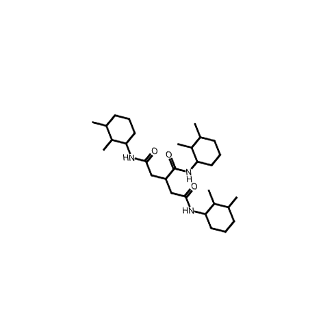 CC1CCCC(NC(=O)CC(CC(=O)NC2CCCC(C)C2C)C(=O)NC2CCCC(C)C2C)C1C